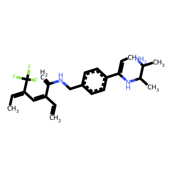 C=C/C(=C/C(=C\C)C(F)(F)F)C(=C)NCc1ccc(/C(=C/C)NC(C)C(C)N)cc1